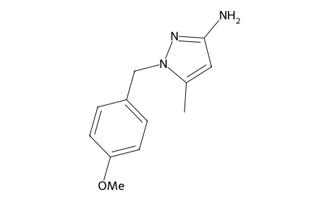 COc1ccc(Cn2nc(N)cc2C)cc1